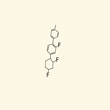 Cc1ccc(-c2ccc(C3CCC(F)CC3F)cc2F)cc1